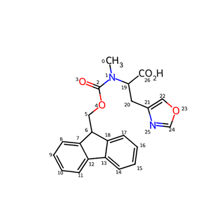 CN(C(=O)OCC1c2ccccc2-c2ccccc21)C(Cc1cocn1)C(=O)O